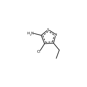 CCc1nsc(N)c1Cl